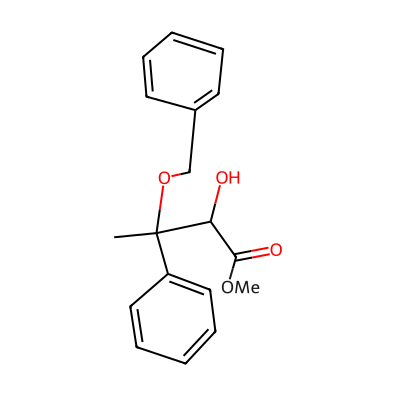 COC(=O)C(O)C(C)(OCc1ccccc1)c1ccccc1